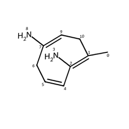 C/C1=C(N)\C=C/C/C(N)=C\C1